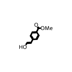 COC(=O)c1ccc(C=CO)cc1